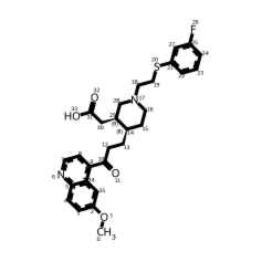 COc1ccc2nccc(C(=O)CC[C@@H]3CCN(CCSc4cccc(F)c4)C[C@@H]3CC(=O)O)c2c1